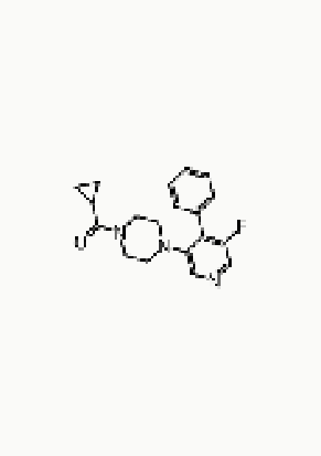 O=C(C1CC1)N1CCN(c2cncc(F)c2-c2ccccc2)CC1